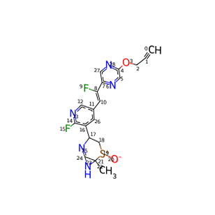 C#CCOc1cnc(/C(F)=C/c2cnc(F)c(C3C[S+]([O-])C4(C)NC4=N3)c2)cn1